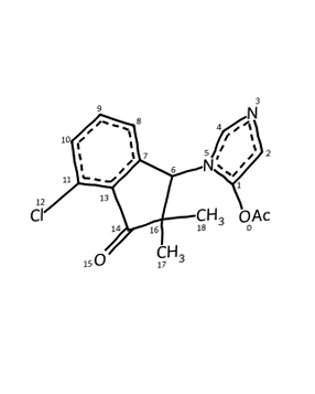 CC(=O)Oc1cncn1C1c2cccc(Cl)c2C(=O)C1(C)C